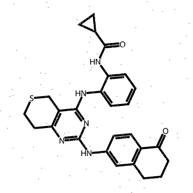 O=C1CCCc2cc(Nc3nc4c(c(Nc5ccccc5NC(=O)C5CC5)n3)CSCC4)ccc21